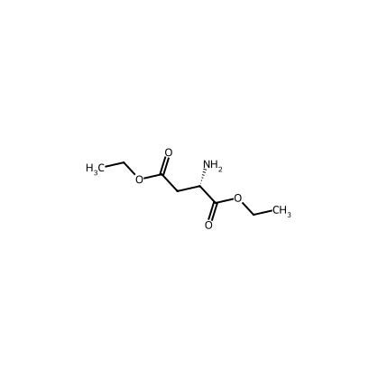 CCOC(=O)C[C@H](N)C(=O)OCC